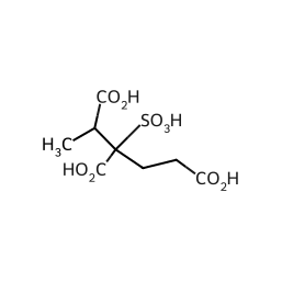 CC(C(=O)O)C(CCC(=O)O)(C(=O)O)S(=O)(=O)O